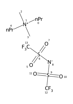 CCC[N+](C)(C)CCC.O=S(=O)([N-]S(=O)(=O)C(F)(F)F)C(F)(F)F